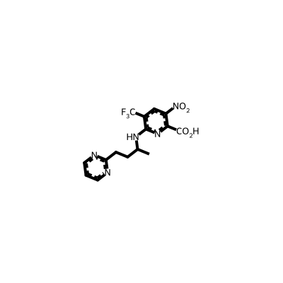 CC(CCc1ncccn1)Nc1nc(C(=O)O)c([N+](=O)[O-])cc1C(F)(F)F